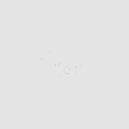 CC(C)(C)OC(=O)N(Br)Cc1cc(C(O[SiH3])(O[SiH3])OC(C)(C)C)ccc1Br